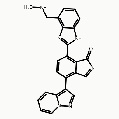 CNCc1cccc2[nH]c(-c3ccc(-c4cnn5ccccc45)c4c3C(=O)N=C4)nc12